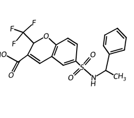 CC(NS(=O)(=O)c1ccc2c(c1)C=C(C(=O)O)C(C(F)(F)F)O2)c1ccccc1